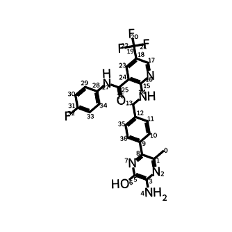 Cc1nc(N)c(O)nc1-c1ccc(CNc2ncc(C(F)(F)F)cc2C(=O)Nc2ccc(F)cc2)cc1